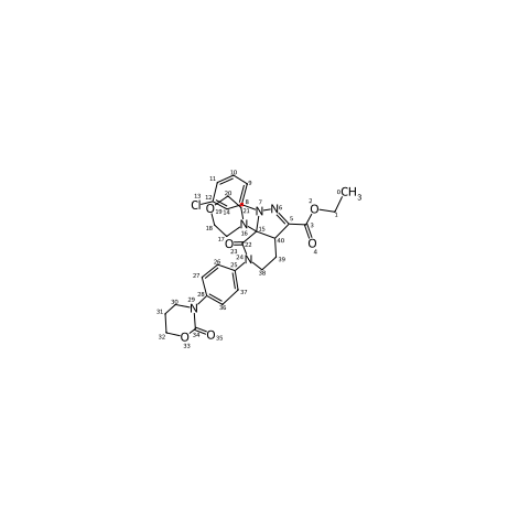 CCOC(=O)C1=NN(c2cccc(Cl)c2)C2(N3CCOCC3)C(=O)N(c3ccc(N4CCCOC4=O)cc3)CCC12